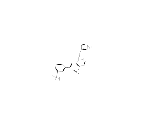 CC(F)(F)c1cccc(-c2cnc3cnn(Cc4cn[nH]c4)c3c2)c1